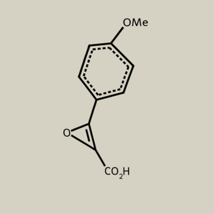 COc1ccc(C2=C(C(=O)O)O2)cc1